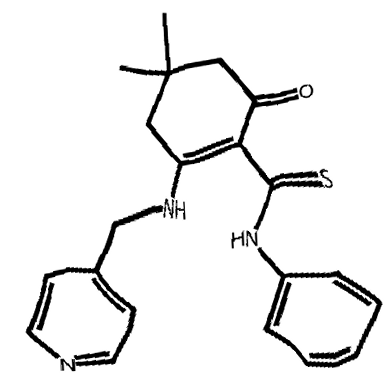 CC1(C)CC(=O)C(C(=S)Nc2ccccc2)=C(NCc2ccncc2)C1